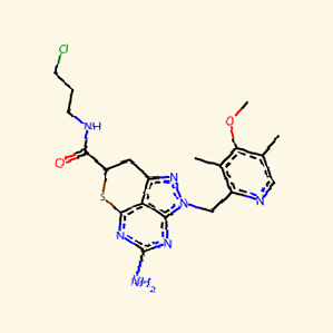 COc1c(C)cnc(Cn2nc3c4c(nc(N)nc42)SC(C(=O)NCCCCl)C3)c1C